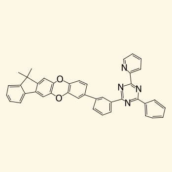 CC1(C)c2ccccc2-c2cc3c(cc21)Oc1ccc(-c2cccc(-c4nc(-c5ccccc5)nc(-c5ccccn5)n4)c2)cc1O3